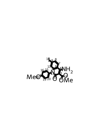 COC(=O)c1c(N)c2ccc(I)cc2n(-c2ccc(OC)cc2)c1=O